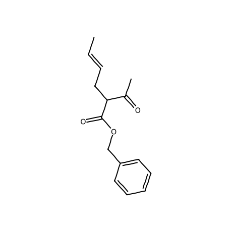 CC=CCC(C(C)=O)C(=O)OCc1ccccc1